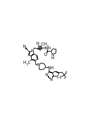 Cc1c(CN2CCC(Nc3ncnc4sc(CC(F)(F)F)cc34)CC2)ccc2c1cc(C#N)n2CC12CC(NC(=O)C3CCCN3)(C1)[C@H]2C